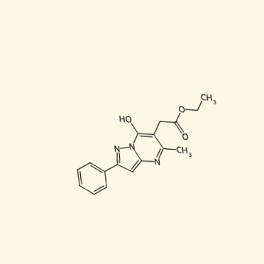 CCOC(=O)Cc1c(C)nc2cc(-c3ccccc3)nn2c1O